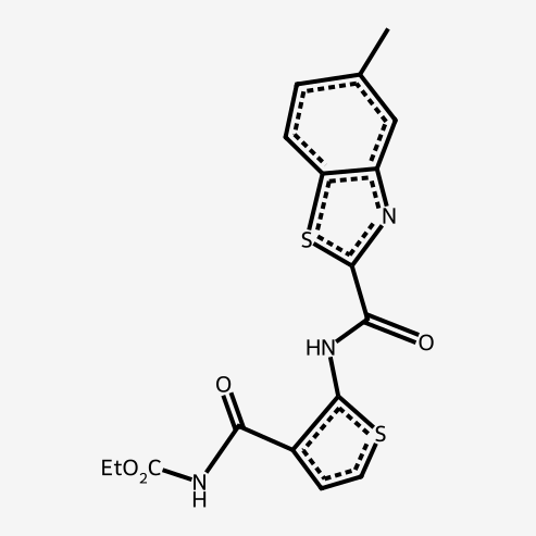 CCOC(=O)NC(=O)c1ccsc1NC(=O)c1nc2cc(C)ccc2s1